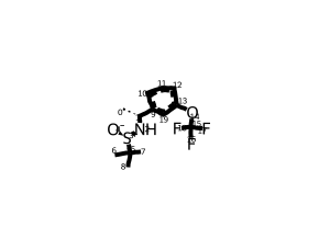 C[C@@H](N[S@+]([O-])C(C)(C)C)c1cccc(OC(F)(F)F)c1